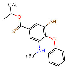 CCCCNc1cc(C(=S)OC(C)OC(C)=O)cc(S)c1Oc1ccccc1